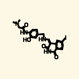 CN(C)CC(=O)Nc1ccc(CN/C=C2\C(=O)NC(=O)c3ccc(I)cc32)cc1O